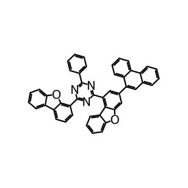 c1ccc(-c2nc(-c3cccc4c3oc3ccccc34)nc(-c3cc(-c4cc5ccccc5c5ccccc45)cc4oc5ccccc5c34)n2)cc1